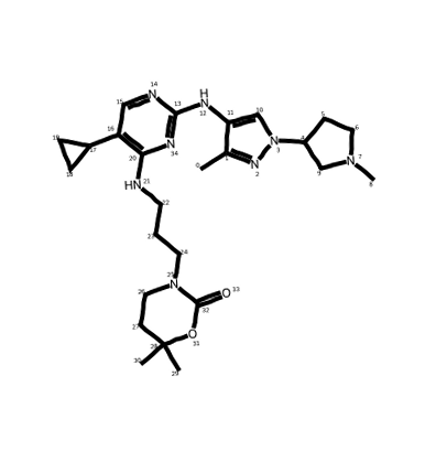 Cc1nn(C2CCN(C)C2)cc1Nc1ncc(C2CC2)c(NCCCN2CCC(C)(C)OC2=O)n1